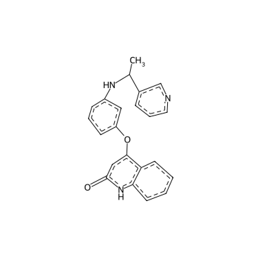 CC(Nc1cccc(Oc2cc(=O)[nH]c3ccccc23)c1)c1cccnc1